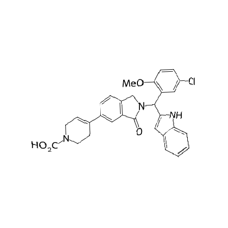 COc1ccc(Cl)cc1C(c1cc2ccccc2[nH]1)N1Cc2ccc(C3=CCN(C(=O)O)CC3)cc2C1=O